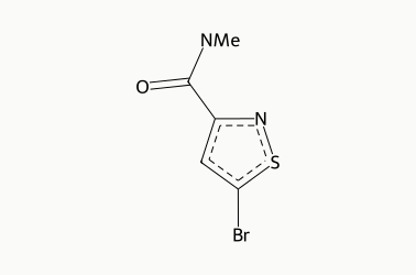 CNC(=O)c1cc(Br)sn1